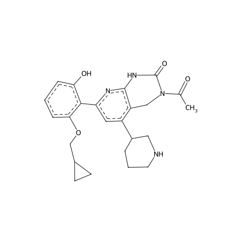 CC(=O)N1Cc2c(C3CCCNC3)cc(-c3c(O)cccc3OCC3CC3)nc2NC1=O